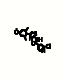 COC1=CC(C)C(c2csc(NC(=O)c3ccnc(Cl)c3)n2)C(C)=C1